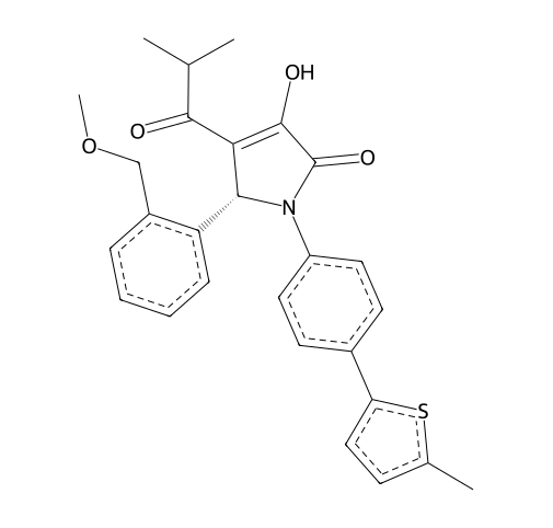 COCc1ccccc1[C@@H]1C(C(=O)C(C)C)=C(O)C(=O)N1c1ccc(-c2ccc(C)s2)cc1